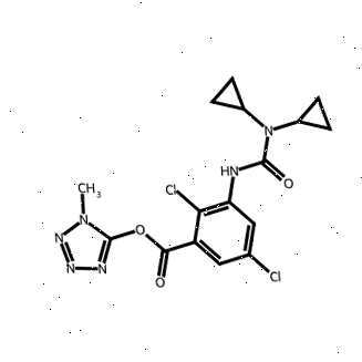 Cn1nnnc1OC(=O)c1cc(Cl)cc(NC(=O)N(C2CC2)C2CC2)c1Cl